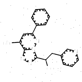 CCCc1cc(-c2ccccc2)nn2c(C(Cc3cccnc3)C(=O)OCC)nnc12